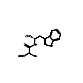 CC[C@H](C)C(NC(C)=O)C(=O)N[C@H](C=O)Cc1c[nH]c2ccccc12